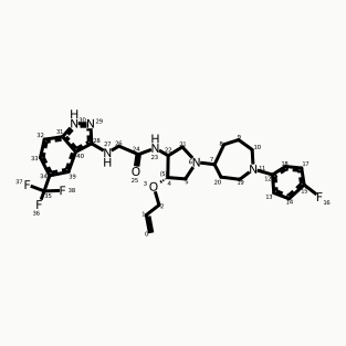 C=CCO[C@H]1CN(C2CCCN(c3ccc(F)cc3)CC2)CC1NC(=O)CNc1n[nH]c2ccc(C(F)(F)F)cc12